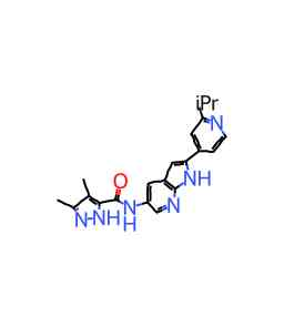 Cc1n[nH]c(C(=O)Nc2cnc3[nH]c(-c4ccnc(C(C)C)c4)cc3c2)c1C